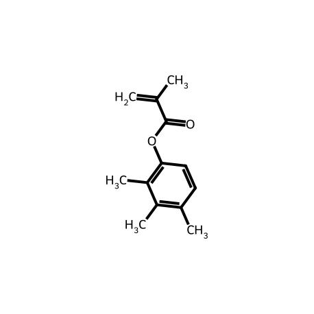 C=C(C)C(=O)Oc1ccc(C)c(C)c1C